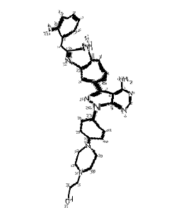 Nc1ncnc2c1c(-c1ccc3[nH]c(Cc4ccccc4F)nc3c1)nn2C1CCC(N2CCN(CCO)CC2)CC1